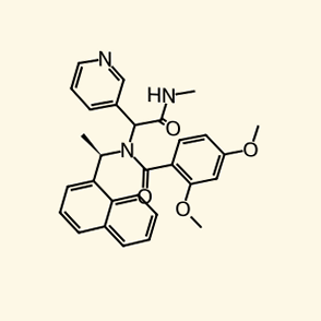 CNC(=O)C(c1cccnc1)N(C(=O)c1ccc(OC)cc1OC)[C@H](C)c1cccc2ccccc12